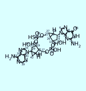 Nc1nc2c(ncn2[C@H]2[C@H](O)[C@@H]3OP(=O)(O)OC[C@@H]4[C@@H](O[P@@](=O)(S)OC[C@@]35C[C@H]25)[C@@H](O)C2(n3cnc5c(N)ncnc53)C[C@@H]42)c(=O)[nH]1